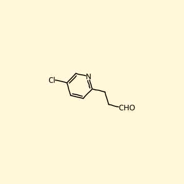 O=CCCc1ccc(Cl)cn1